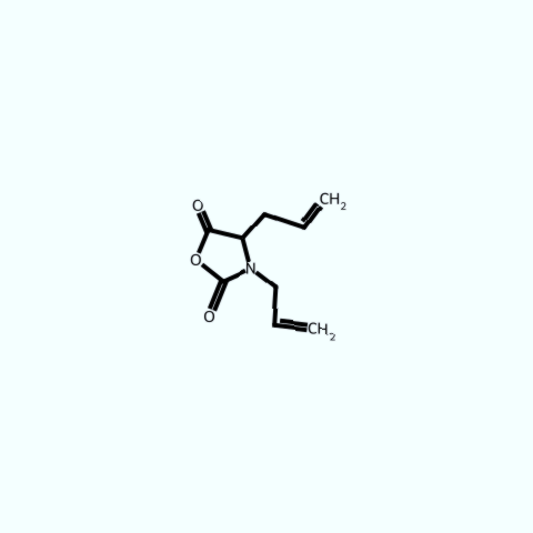 C=CCC1C(=O)OC(=O)N1CC=C